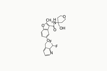 Cc1oc2ccc(OCc3cccnc3C(F)F)cc2c1C(=O)NC1(CO)CCOCC1